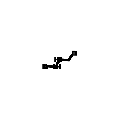 CCCNNCC